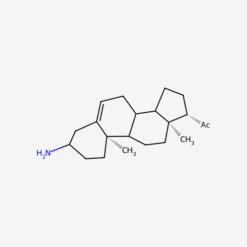 CC(=O)[C@H]1CCC2C3CC=C4CC(N)CC[C@]4(C)C3CC[C@@]21C